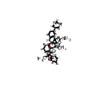 [2H]C1([2H])OC(N)=NC12c1cc(-c3cncnc3)ccc1C[C@@]21CC[C@H](O[Si](c2ccccc2)(c2ccccc2)C(C)(C)C)[C@@H](C)C1